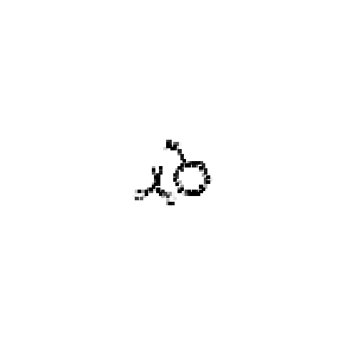 CC(=O)c1ccccc1.O=S(=O)=O